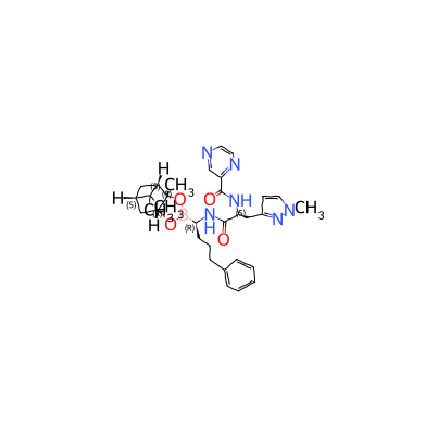 Cn1ccc(C[C@H](NC(=O)c2cnccn2)C(=O)N[C@@H](CCCc2ccccc2)B2O[C@@H]3C[C@@H]4C[C@@H](C4(C)C)[C@]3(C)O2)n1